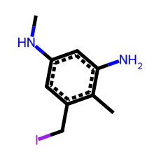 CNc1cc(N)c(C)c(CI)c1